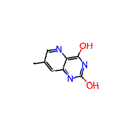 Cc1cnc2c(O)nc(O)nc2c1